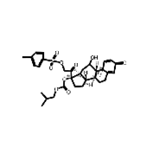 Cc1ccc(S(=O)(=O)OCC(=O)[C@@]2(OC(=O)OCC(C)C)CC[C@H]3[C@@H]4CCC5=CC(=O)C=C[C@]5(C)[C@H]4C(O)C[C@@]32C)cc1